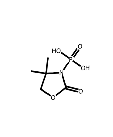 CC1(C)COC(=O)N1P(=O)(O)O